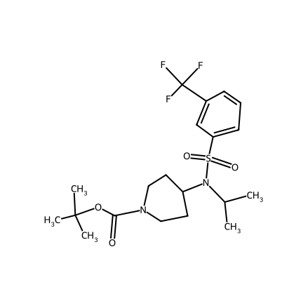 CC(C)N(C1CCN(C(=O)OC(C)(C)C)CC1)S(=O)(=O)c1cccc(C(F)(F)F)c1